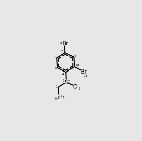 CC(C)C[S+]([O-])c1ccc(Br)cc1Br